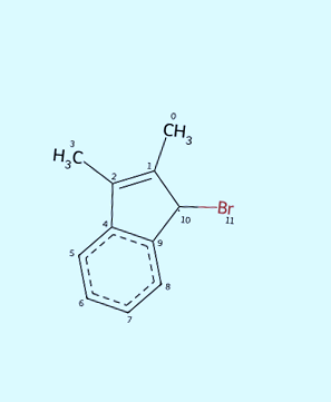 CC1=C(C)c2ccccc2[C]1Br